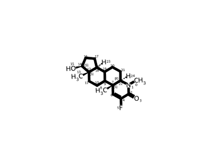 CN1C(=O)C(F)=C[C@]2(C)C3CC[C@]4(C)[C@@H](O)CC[C@H]4C3CC[C@@H]12